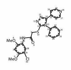 COc1cc(OC)c(NC(=O)CSc2nnc(-c3ccncc3)n2-c2ccccc2)cc1Cl